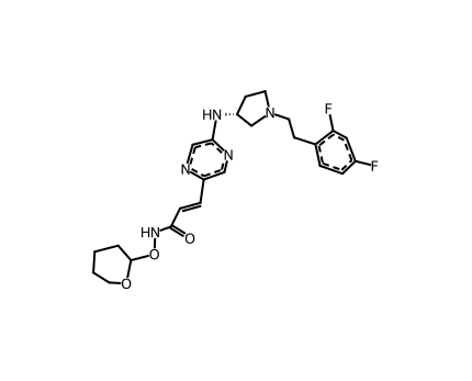 O=C(/C=C/c1cnc(N[C@@H]2CCN(CCc3ccc(F)cc3F)C2)cn1)NOC1CCCCO1